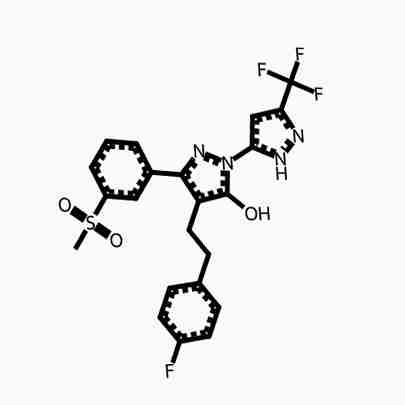 CS(=O)(=O)c1cccc(-c2nn(-c3cc(C(F)(F)F)n[nH]3)c(O)c2CCc2ccc(F)cc2)c1